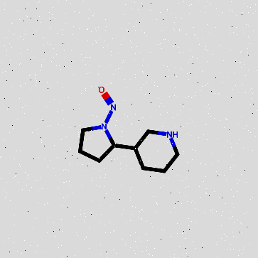 O=NN1CCCC1C1CCCNC1